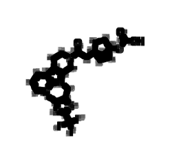 Cc1nc(C(F)(F)F)sc1Cn1c2c(c3cccnc31)CCN(C(=O)CC13CCC(OC(=O)O)(CC1)C3)C2